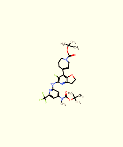 CN(C(=O)OC(C)(C)C)c1cc(Nc2nc3c(c(C4=CCN(C(=O)OC(C)(C)C)CCC4)c2F)OCC3)nc(C(F)(F)F)c1